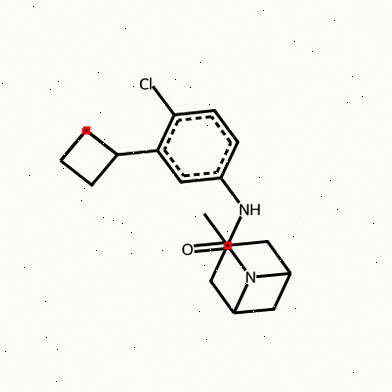 CC1CC2CC(C1)N2C(=O)Nc1ccc(Cl)c(C23CC(C2)C3)c1